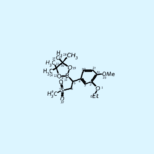 CCOc1cc(C(CS(C)(=O)=O)B2OC(C)(C)C(C)(C)O2)ccc1OC